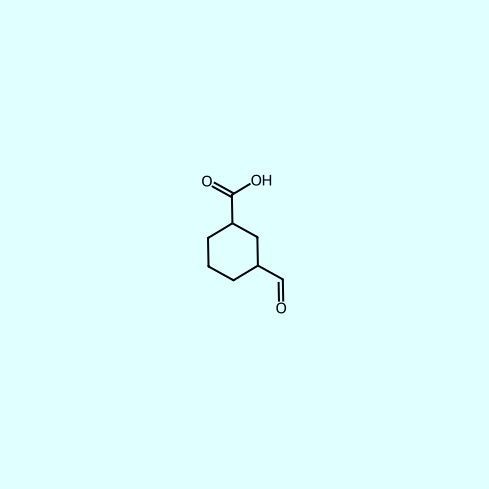 O=CC1CCCC(C(=O)O)C1